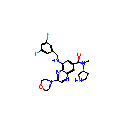 CN(C(=O)c1cc(NCc2cc(F)cc(F)c2)c2nc(N3CCOCC3)cnc2c1)[C@H]1CCNC1